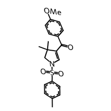 COc1ccc(C(=O)C2=CN(S(=O)(=O)c3ccc(C)cc3)CC2(C)C)cc1